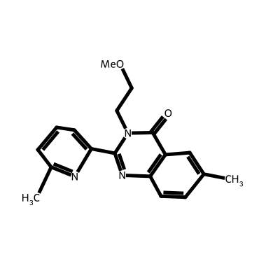 COCCn1c(-c2cccc(C)n2)nc2ccc(C)cc2c1=O